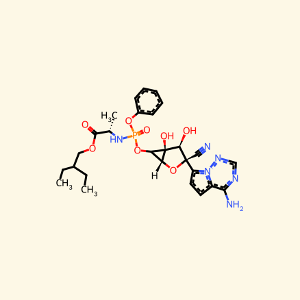 CCC(CC)COC(=O)[C@H](C)NP(=O)(Oc1ccccc1)OC1[C@H]2O[C@@](C#N)(c3ccc4c(N)ncnn34)[C@H](O)[C@@]12O